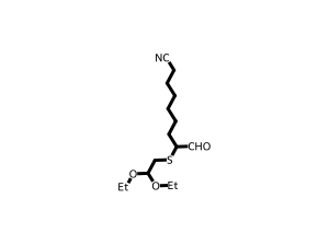 CCOC(CSC(C=O)CCCCCCC#N)OCC